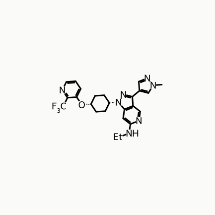 CCNc1cc2c(cn1)c(-c1cnn(C)c1)nn2[C@H]1CC[C@@H](Oc2cccnc2C(F)(F)F)CC1